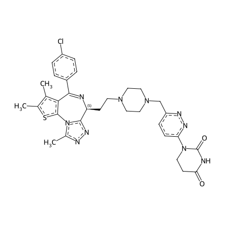 Cc1sc2c(c1C)C(c1ccc(Cl)cc1)=N[C@@H](CCN1CCN(Cc3ccc(N4CCC(=O)NC4=O)nn3)CC1)c1nnc(C)n1-2